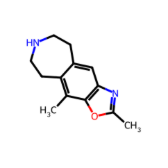 Cc1nc2cc3c(c(C)c2o1)CCNCC3